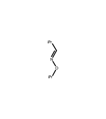 CC(C)C=NOC(C)C